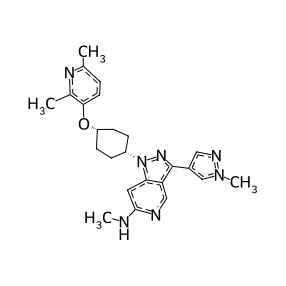 CNc1cc2c(cn1)c(-c1cnn(C)c1)nn2[C@H]1CC[C@@H](Oc2ccc(C)nc2C)CC1